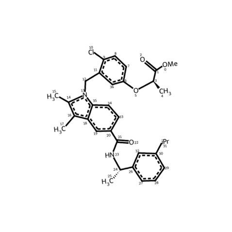 COC(=O)[C@@H](C)Oc1ccc(Cl)c(Cn2c(C)c(C)c3cc(C(=O)N[C@@H](C)c4cccc(C(C)C)c4)ccc32)c1